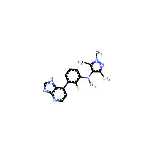 Cc1nn(C)c(C)c1N(C)c1cccc(-c2ccnc3nc[nH]c23)c1F